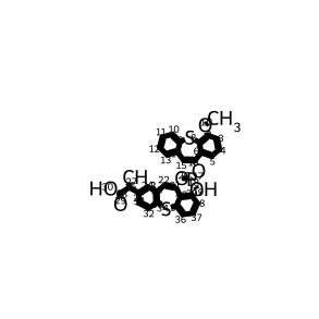 COc1cccc2c1Sc1ccccc1C=C2OP(O)OC1=Cc2cc(C(C)C(=O)O)ccc2Sc2ccccc21